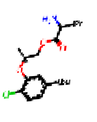 CC(C)C(N)C(=O)OC[C@H](C)Oc1cc(C(C)(C)C)ccc1Cl